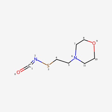 O=C=NSCCN1CCOCC1